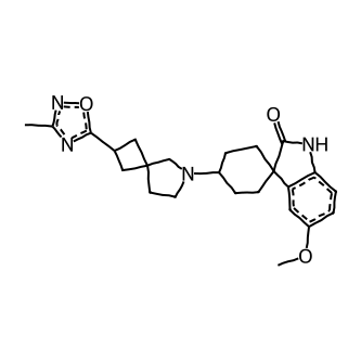 COc1ccc2c(c1)C1(CCC(N3CCC4(CC(c5nc(C)no5)C4)C3)CC1)C(=O)N2